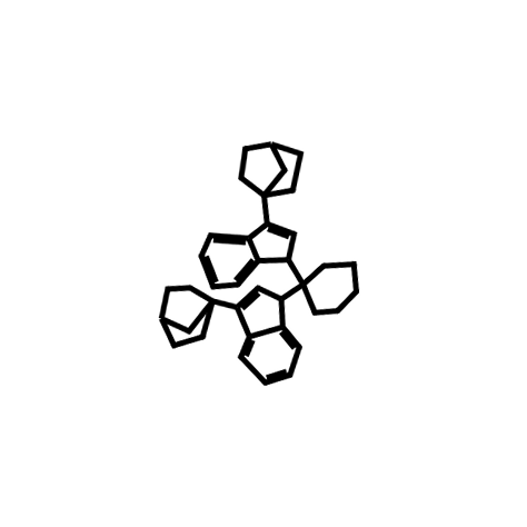 C1=C(C23CCC(CC2)C3)c2ccccc2C1C1(C2C=C(C34CCC(CC3)C4)c3ccccc32)CCCCC1